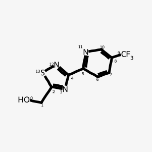 OCc1nc(-c2ccc(C(F)(F)F)cn2)ns1